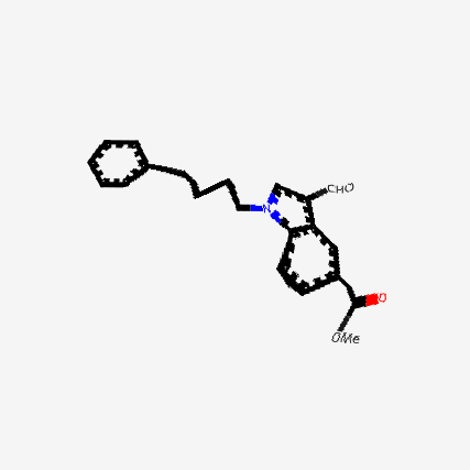 COC(=O)c1ccc2c(c1)c(C=O)cn2CCCCc1ccccc1